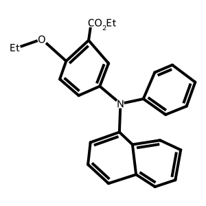 CCOC(=O)c1cc(N(c2ccccc2)c2cccc3ccccc23)ccc1OCC